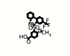 COc1ccc(C(=O)O)cc1S(=O)(=O)Nc1cc(C(F)(F)F)ccc1-c1ccccc1F